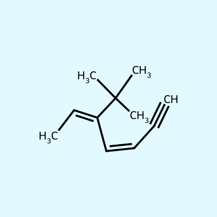 C#C/C=C\C(=C/C)C(C)(C)C